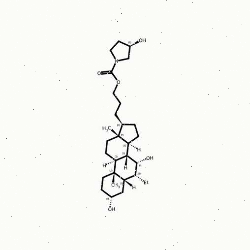 CC[C@H]1[C@@H](O)[C@@H]2[C@H](CC[C@]3(C)[C@@H](CCCOC(=O)N4CC[C@@H](O)C4)CC[C@@H]23)[C@@]2(C)CC[C@@H](O)C[C@@H]12